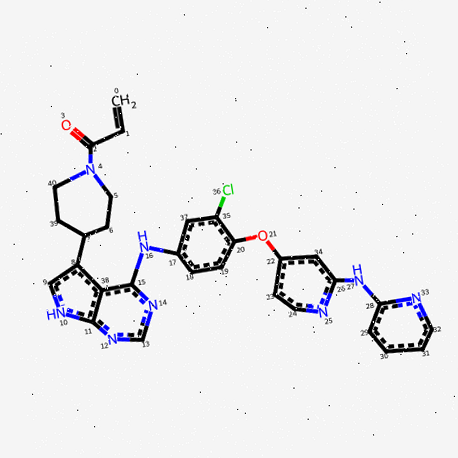 C=CC(=O)N1CCC(c2c[nH]c3ncnc(Nc4ccc(Oc5ccnc(Nc6ccccn6)c5)c(Cl)c4)c23)CC1